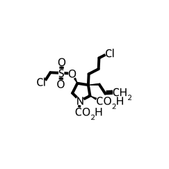 C=CC[C@]1(CCCCl)[C@H](OS(=O)(=O)CCl)CN(C(=O)O)[C@@H]1C(=O)O